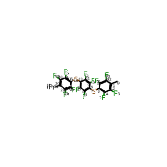 Cc1c(F)c(F)c(Sc2c(F)c(F)c(Sc3c(F)c(F)c(C(C)C)c(F)c3F)c(F)c2F)c(F)c1F